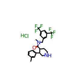 Cc1cccc(C2CNCCC2C(=O)N(C)Cc2cc(C(F)(F)F)cc(C(F)(F)F)c2)c1.Cl